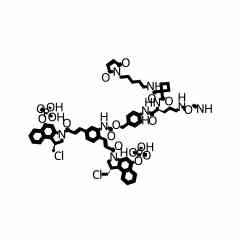 N=CONCCC[C@H](NC(=O)C1(C(=O)NCCCCCN2C(=O)C=CC2=O)CCC1)C(=O)Nc1ccc(COC(=O)Nc2cc(/C=C/C(=O)N3C[C@@H](CCl)c4c3cc(OP(=O)(O)O)c3ccccc43)ccc2/C=C/C(=O)N2C[C@@H](CCl)c3c2cc(OP(=O)(O)O)c2ccccc32)cc1